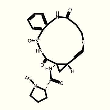 CC(=O)N1CCC[C@H]1C(=O)N[C@@]12C[C@H]1/C=C\CCCC(=O)Nc1ccccc1[S+]([O-])NC2=O